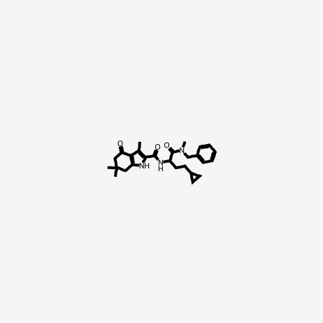 Cc1c(C(=O)NC(CCC2CC2)C(=O)N(C)Cc2ccccc2)[nH]c2c1C(=O)CC(C)(C)C2